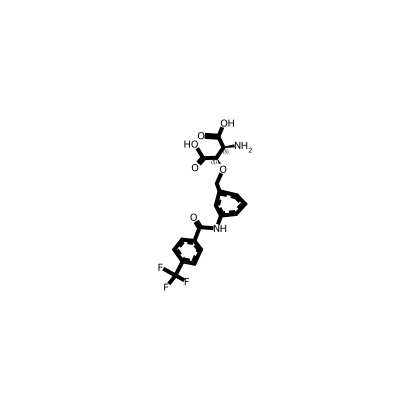 N[C@H](C(=O)O)[C@H](OCc1cccc(NC(=O)c2ccc(C(F)(F)F)cc2)c1)C(=O)O